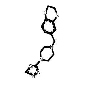 c1nnc(N2CCN(Cc3ccc4c(c3)SCCO4)CC2)s1